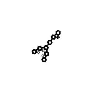 CC1(C)c2cc(C3=CC=C(c4cc5c6ccc7c8ccccc8oc7c6n6c5c(c4)c4ccc5c7ccccc7oc5c46)CC3)ccc2C2CCC=CC21